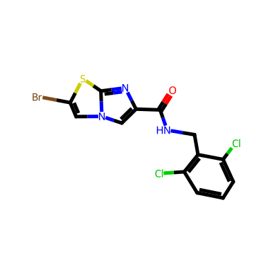 O=C(NCc1c(Cl)cccc1Cl)c1cn2cc(Br)sc2n1